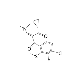 CSc1c(C(=O)C(=CN(C)C)C(=O)C2CC2)ccc(Cl)c1F